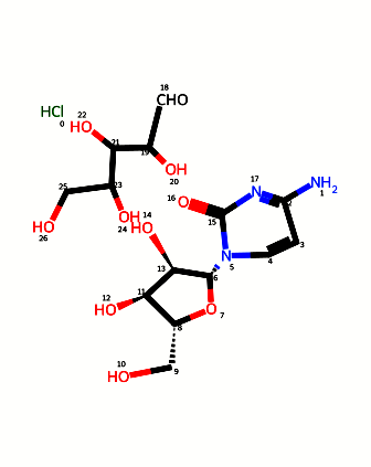 Cl.Nc1ccn([C@@H]2O[C@H](CO)[C@@H](O)[C@H]2O)c(=O)n1.O=CC(O)C(O)C(O)CO